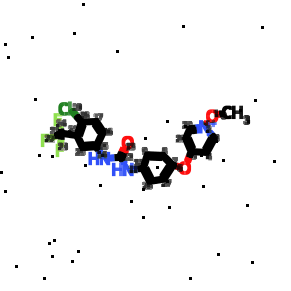 CO[n+]1ccc(Oc2ccc(NC(=O)Nc3ccc(Cl)c(C(F)(F)F)c3)cc2)cc1